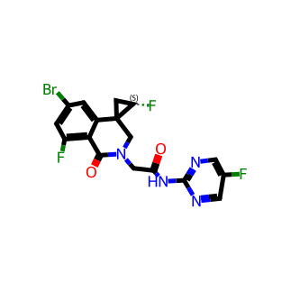 O=C(CN1CC2(C[C@@H]2F)c2cc(Br)cc(F)c2C1=O)Nc1ncc(F)cn1